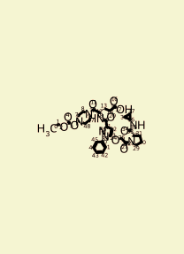 CCOC(=O)ON1CCN(C(=O)[C@H](CCC(=O)O)NC(=O)c2cc(OCC(=O)N3CCC[C@H]3C(=O)NC3CC3)n(-c3ccccc3)n2)CC1